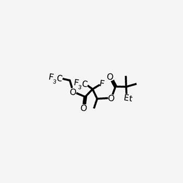 CCC(C)(C)C(=O)OC(C)C(F)(C(=O)OCC(F)(F)F)C(F)(F)F